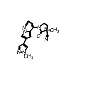 Cn1cc(-c2cc3c(N4CC[C@](C)(C#N)C4=O)ccnn3c2)cn1